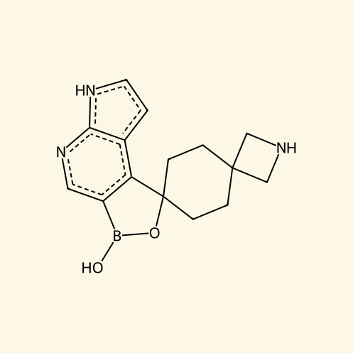 OB1OC2(CCC3(CC2)CNC3)c2c1cnc1[nH]ccc21